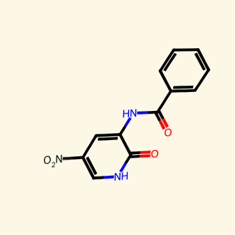 O=C(Nc1cc([N+](=O)[O-])c[nH]c1=O)c1ccccc1